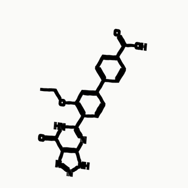 CCOc1cc(-c2ccc(C(=O)O)cc2)ccc1-c1nc2[nH]nnc2c(=O)[nH]1